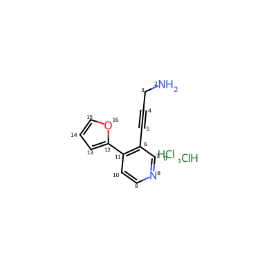 Cl.Cl.NCC#Cc1cnccc1-c1ccco1